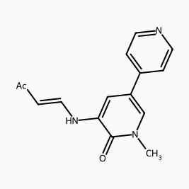 CC(=O)C=CNc1cc(-c2ccncc2)cn(C)c1=O